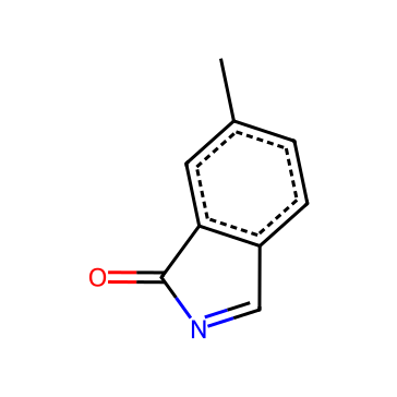 Cc1ccc2c(c1)C(=O)N=C2